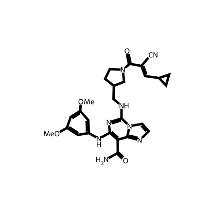 COc1cc(Nc2nc(NCC3CCN(C(=O)C(C#N)=CC4CC4)C3)n3ccnc3c2C(N)=O)cc(OC)c1